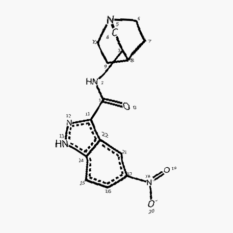 O=C(NC1CN2CCC1CC2)c1n[nH]c2ccc([N+](=O)[O-])cc12